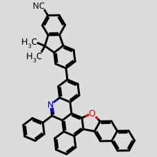 CC1(C)c2cc(C#N)ccc2-c2ccc(-c3ccc4c(c3)nc(-c3ccccc3)c3c5ccccc5c5c6cc7ccccc7cc6oc5c43)cc21